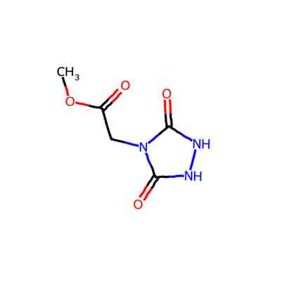 COC(=O)Cn1c(=O)[nH][nH]c1=O